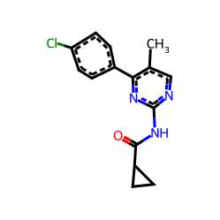 Cc1cnc(NC(=O)C2CC2)nc1-c1ccc(Cl)cc1